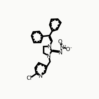 O=[N+]([O-])/N=C1\N(C=C(c2ccccc2)c2ccccc2)CCN1Cc1ccc(Cl)nc1